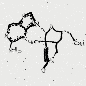 Nc1ncc2ncn([C@@H]3O[C@H](CO)C(CO)C3(O)C#CCl)c2n1